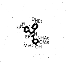 CCN(CC)c1ccc(-c2nc(-c3cc(OC)c(O)c(OC)c3NC(C)=O)n(CC)c2-c2ccc(N(CC)CC)cc2)cc1